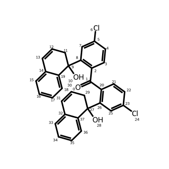 O=C(c1ccc(Cl)cc1C1(O)CC=Cc2ccccc21)c1ccc(Cl)cc1C1(O)CC=Cc2ccccc21